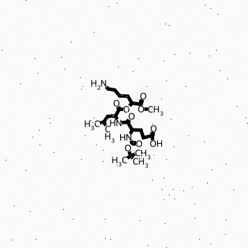 COC(=O)C(CCCCN)OC(=O)C(CC(C)C)NC(=O)C(CCC(=O)O)NC(=O)OC(C)(C)C